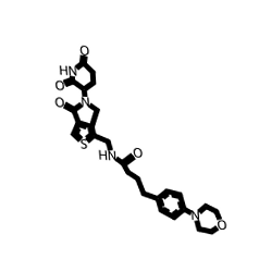 O=C(CCCc1ccc(N2CCOCC2)cc1)NCc1scc2c1CN(C1CCC(=O)NC1=O)C2=O